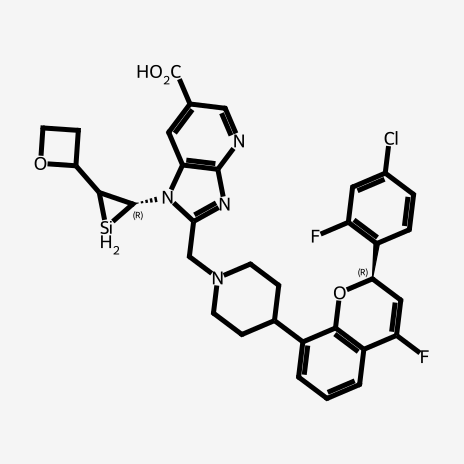 O=C(O)c1cnc2nc(CN3CCC(c4cccc5c4O[C@@H](c4ccc(Cl)cc4F)C=C5F)CC3)n([C@@H]3[SiH2]C3C3CCO3)c2c1